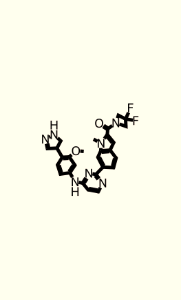 COc1cc(Nc2ccnc(-c3ccc4cc(C(=O)N5CC(F)(F)C5)n(C)c4c3)n2)ccc1C1C=NNC1